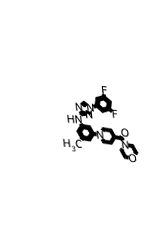 Cc1cc(Nc2ncn(-c3cc(F)cc(F)c3)n2)cc(N2CCC(C(=O)N3CCOCC3)CC2)c1